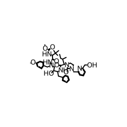 CCC(C)C(C(=O)NC(Cc1ccccc1)C(O)CN(Cc1ccc(OC)cc1)NC(=O)C(NC(=O)OC)C(C)(C)C)N1CCN(Cc2cccc(CO)n2)C1=O